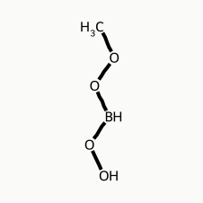 COOBOO